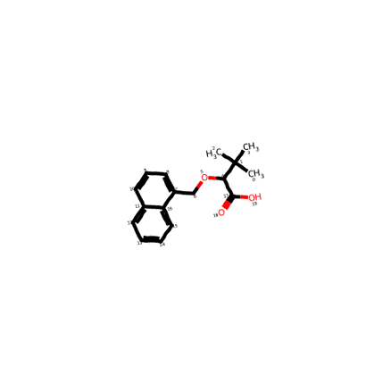 CC(C)(C)C(OCc1cccc2ccccc12)C(=O)O